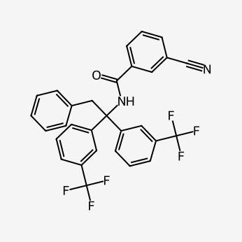 N#Cc1cccc(C(=O)NC(Cc2ccccc2)(c2cccc(C(F)(F)F)c2)c2cccc(C(F)(F)F)c2)c1